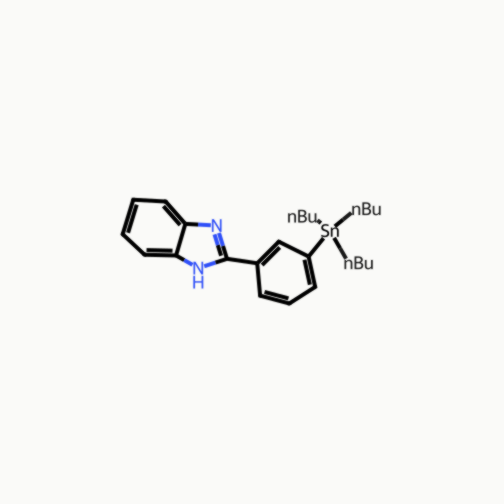 CCC[CH2][Sn]([CH2]CCC)([CH2]CCC)[c]1cccc(-c2nc3ccccc3[nH]2)c1